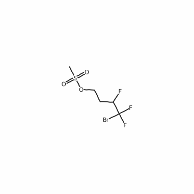 CS(=O)(=O)OCCC(F)C(F)(F)Br